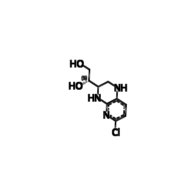 OC[C@@H](O)C1CNc2ccc(Cl)nc2N1